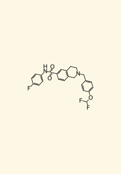 O=S(=O)(Nc1ccc(F)cc1)c1ccc2c(c1)CCN(Cc1ccc(OC(F)F)cc1)C2